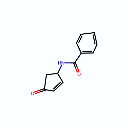 O=C1C=CC(NC(=O)c2ccccc2)C1